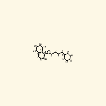 c1cc2c(c(OCCCCC3CCCCC3)c1)CCCC2